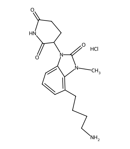 Cl.Cn1c(=O)n(C2CCC(=O)NC2=O)c2cccc(CCCCN)c21